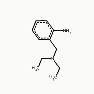 CCN(CC)Cc1ccccc1N